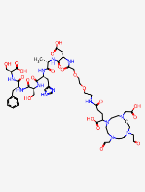 C[C@H](NC(=O)[C@H](CC(=O)O)NC(=O)COCCOCCNC(=O)CCC(C(=O)O)N1CCN(CC=O)CCN(CC=O)CCN(CC(=O)O)CC1)C(=O)N[C@@H](Cc1c[nH]cn1)C(=O)N[C@@H](CO)C(=O)N[C@@H](Cc1ccccc1)C(=O)N[C@@H](CO)C(=O)O